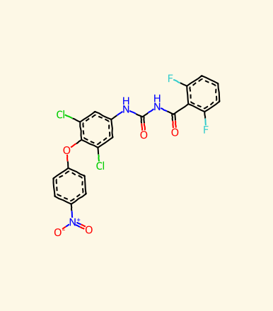 O=C(NC(=O)c1c(F)cccc1F)Nc1cc(Cl)c(Oc2ccc([N+](=O)[O-])cc2)c(Cl)c1